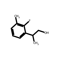 C[C](CO)c1cccc(C)c1F